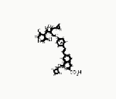 O=C(O)c1cc2ccc(/C=C/C34CCC(OCc5c(-c6c(Cl)cncc6Cl)noc5C5CC5)(CC3)CC4)cc2c(OC2CCC2)n1